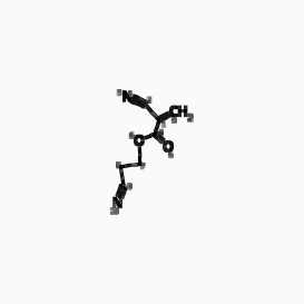 C=C(C#N)C(=O)OCCC#N